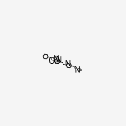 c1ccc(COc2ccc(CCc3ccc(CCN4CCC4)cn3)nn2)cc1